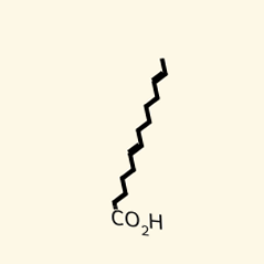 CC=CCCCCC=CCCCCC(=O)O